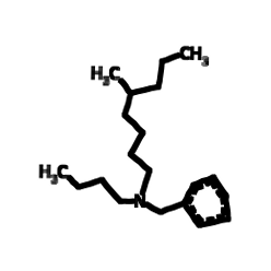 CCCCN(CCCCC(C)CCC)Cc1ccccc1